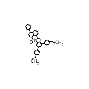 C=CCc1ccc(-c2cc(-c3ccc(CC=C)cc3)c3nc4c5cccc6c(-c7ccccc7)ccc(c(=O)n4c3c2)c65)cc1